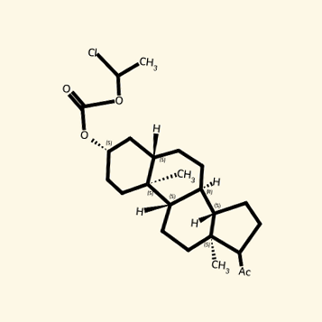 CC(=O)C1CC[C@H]2[C@@H]3CC[C@H]4C[C@@H](OC(=O)OC(C)Cl)CC[C@]4(C)[C@H]3CC[C@]12C